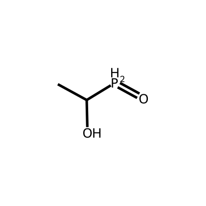 CC(O)[PH2]=O